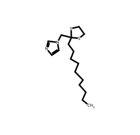 CCCCCCCCCCC1(Cn2ccnc2)SCCS1